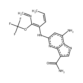 C=N/C(OC(F)(F)F)=C(\C=C/C)Nc1cc(N)n2ncc(C(N)=O)c2n1